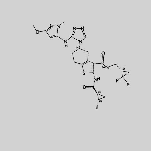 COc1cc(Nc2nncn2[C@H]2CCc3sc(NC(=O)[C@H]4C[C@@H]4C)c(C(=O)NC[C@@H]4CC4(F)F)c3C2)n(C)n1